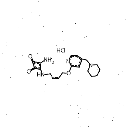 Cl.Nc1c(NC/C=C\COc2cc(CN3CCCCC3)ccn2)c(=O)c1=O